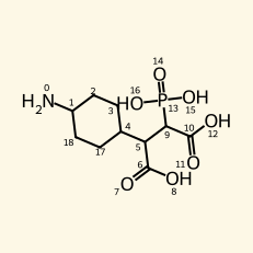 NC1CCC(C(C(=O)O)C(C(=O)O)P(=O)(O)O)CC1